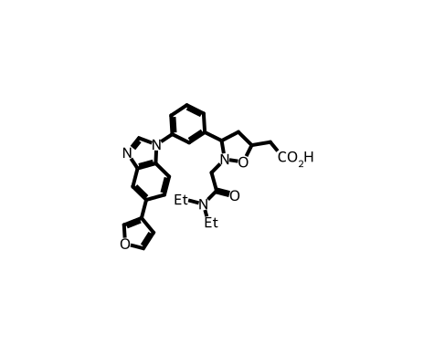 CCN(CC)C(=O)CN1OC(CC(=O)O)CC1c1cccc(-n2cnc3cc(-c4ccoc4)ccc32)c1